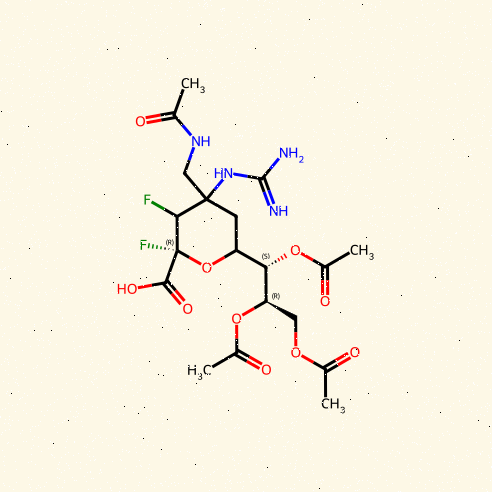 CC(=O)NCC1(NC(=N)N)CC([C@H](OC(C)=O)[C@@H](COC(C)=O)OC(C)=O)O[C@@](F)(C(=O)O)C1F